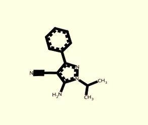 CC(C)n1nc(-c2c[c]ccc2)c(C#N)c1N